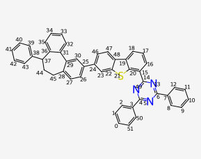 c1ccc(-c2nc(-c3ccccc3)nc(-c3cccc4c3sc3cc(-c5ccc6c(c5)-c5ccccc5C(c5ccccc5)CC6)ccc34)n2)cc1